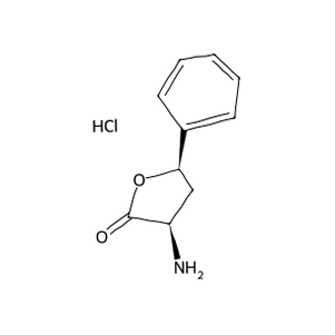 Cl.N[C@@H]1C[C@H](c2ccccc2)OC1=O